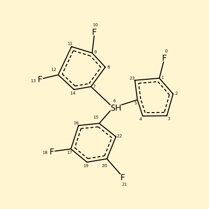 Fc1cccc([SH](c2cc(F)cc(F)c2)c2cc(F)cc(F)c2)c1